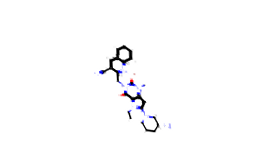 CCn1c(N2CCC[C@@H](N)C2)cc2c1c(=O)n(Cc1nc3ccccc3cc1C#N)c(=O)n2C